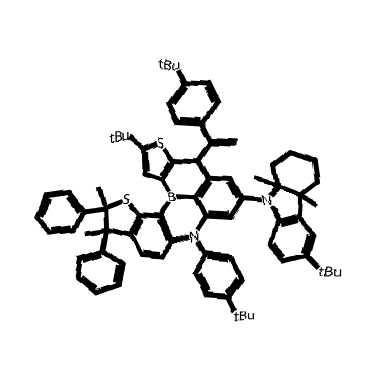 C=C(c1ccc(C(C)(C)C)cc1)C1c2cc(N3c4ccc(C(C)(C)C)cc4C4(C)CCCCC34C)cc3c2B(c2cc(C(C)(C)C)sc21)c1c(ccc2c1SC(C)(c1ccccc1)C2(C)c1ccccc1)N3c1ccc(C(C)(C)C)cc1